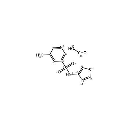 Cc1cncc(S(=O)(=O)Nc2cscn2)c1.O=CO